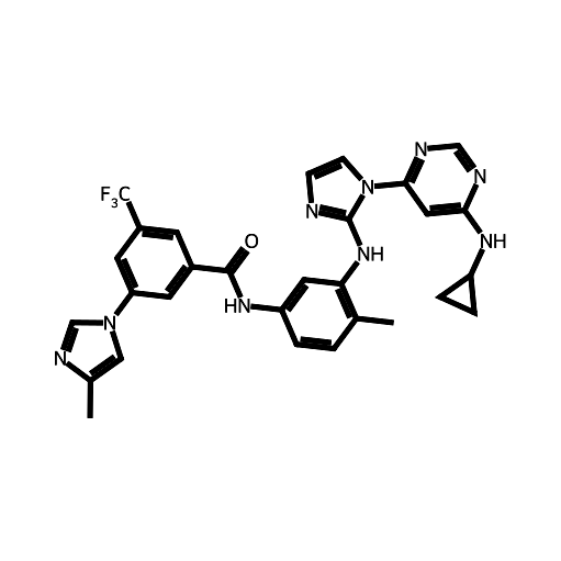 Cc1cn(-c2cc(C(=O)Nc3ccc(C)c(Nc4nccn4-c4cc(NC5CC5)ncn4)c3)cc(C(F)(F)F)c2)cn1